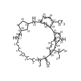 CN1CCOCCN[C@H]2CCC(C2)Nc2ncc(C(F)(F)F)c(n2)-c2c[nH]c3c(P(C)C)c(ccc23)C1=O